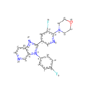 Fc1ccc(-n2c(-c3cnc(N4CCOCC4)c(F)c3)nc3ccncc32)cc1